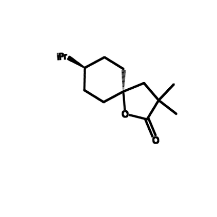 CC(C)[C@H]1CC[C@]2(CC1)CC(C)(C)C(=O)O2